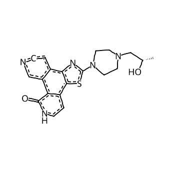 C[C@H](O)CN1CCN(c2nc3c4ccncc4c4c(=O)[nH]ccc4c3s2)CC1